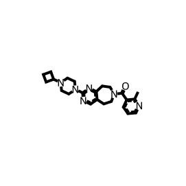 Cc1ncccc1C(=O)N1CCc2cnc(N3CCN(C4CCC4)CC3)nc2CC1